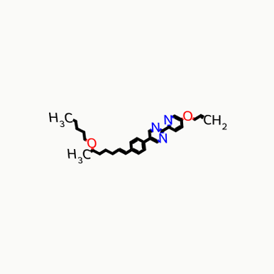 C=CCOc1ccc(-c2ncc(-c3ccc(/C=C/CCCC(C)OCCCCC)cc3)cn2)nc1